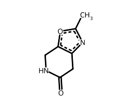 Cc1nc2c(o1)CNC(=O)C2